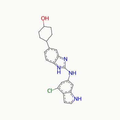 OC1CCC(c2ccc3[nH]c(Nc4cc(Cl)c5cc[nH]c5c4)nc3c2)CC1